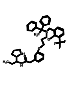 CCC(NC(=O)Cc1cccc(OCCCN(Cc2cccc(C(F)(F)F)c2Cl)C(C)(c2ccccc2)c2ccccc2)c1)C1CCCN1